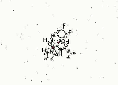 N[C@H](Cc1cc(F)c(F)cc1F)C1CC2CC[C@H](C1)N2C(=O)C(CO)NC(=O)C1CC1